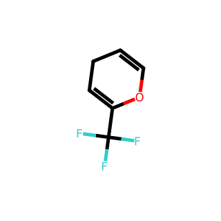 FC(F)(F)C1=CCC=CO1